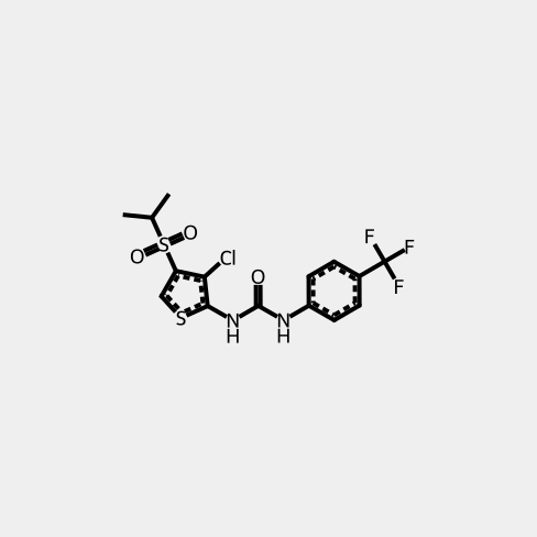 CC(C)S(=O)(=O)c1csc(NC(=O)Nc2ccc(C(F)(F)F)cc2)c1Cl